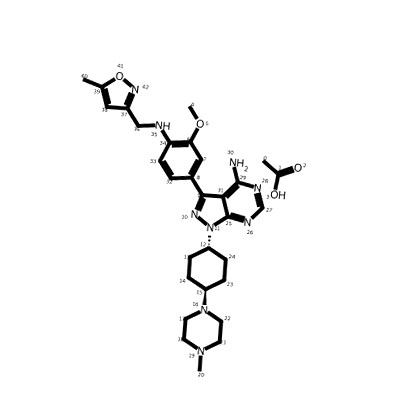 CC(=O)O.COc1cc(-c2nn([C@H]3CC[C@H](N4CCN(C)CC4)CC3)c3ncnc(N)c23)ccc1NCc1cc(C)on1